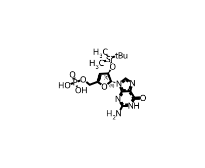 CC(C)(C)[Si](C)(C)O[C@@H]1C=C(COP(=O)(O)O)O[C@H]1n1cnc2c(=O)[nH]c(N)nc21